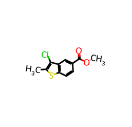 COC(=O)c1ccc2sc(C)c(Cl)c2c1